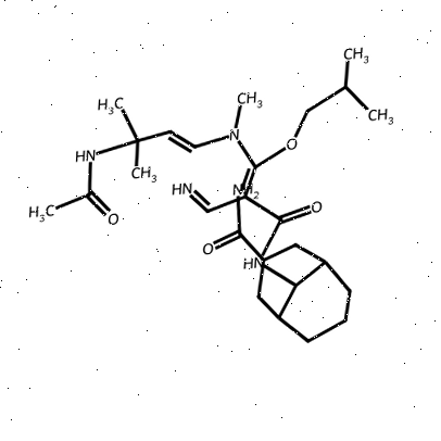 CC(=O)NC(C)(C)/C=C/N(C)/C(OCC(C)C)=C(\C=N)C(=O)NC1C2CCCC1CC(C(N)=O)C2